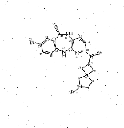 CCCN1CCC2(C1)CN(C(=O)c1ccc3c(n1)Nc1ccc(CC)cc1C(=O)N3)C2